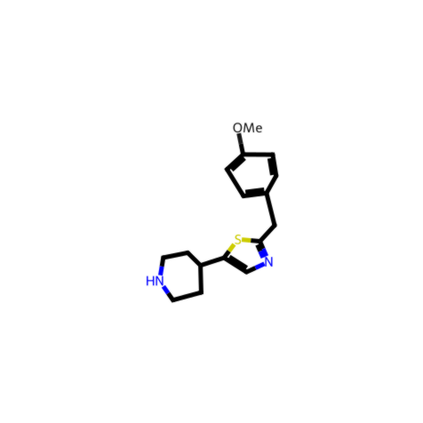 COc1ccc(Cc2ncc(C3CCNCC3)s2)cc1